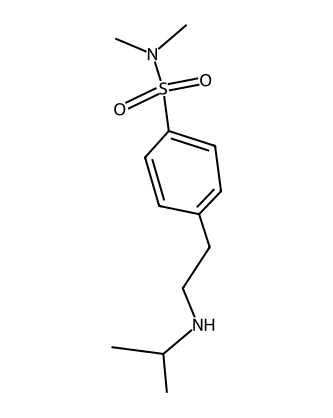 CC(C)NCCc1ccc(S(=O)(=O)N(C)C)cc1